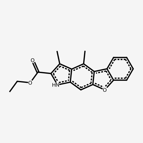 CCOC(=O)c1[nH]c2cc3oc4ccccc4c3c(C)c2c1C